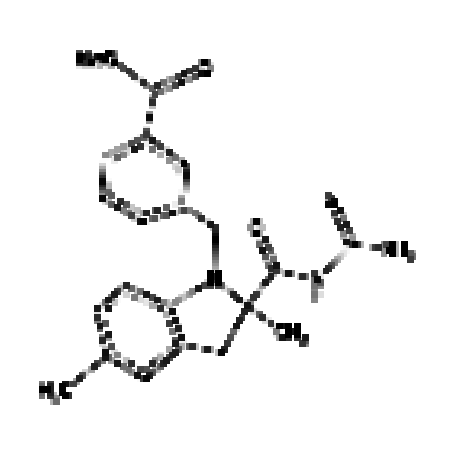 COC(=O)c1cccc(CN2c3ccc(C)cc3CC2(C)C(=O)NC(N)=S)c1